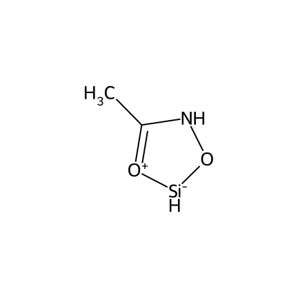 CC1=[O+][SiH-]ON1